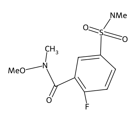 CNS(=O)(=O)c1ccc(F)c(C(=O)N(C)OC)c1